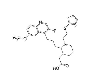 COc1ccc2ncc(F)c(CCCC3C(CC(=O)O)CCCN3CCSc3cccs3)c2c1